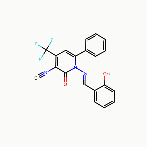 [C-]#[N+]c1c(C(F)(F)F)cc(-c2ccccc2)n(/N=C/c2ccccc2O)c1=O